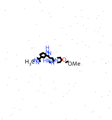 COCCOC1CCN(C2=CC(c3n[nH]c4ccc(-c5cnn(C)c5)cc34)NC=N2)CC1